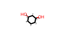 OC1CCC[C@@H](O)C1